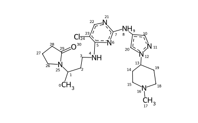 CC(CCNc1nc(Nc2cnn(C3CCN(C)CC3)c2)ncc1Cl)N1CCCC1=O